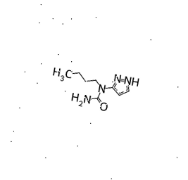 CCCCN(C(N)=O)c1cc[nH]n1